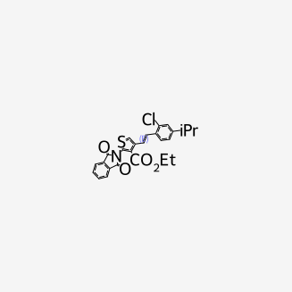 CCOC(=O)c1c(/C=C/c2ccc(C(C)C)cc2Cl)csc1N1C(=O)c2ccccc2C1=O